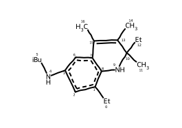 CCc1cc(NC(C)CC)cc2c1NC(C)(CC)C(C)=C2C